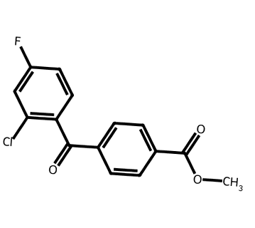 COC(=O)c1ccc(C(=O)c2ccc(F)cc2Cl)cc1